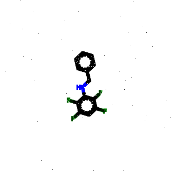 Fc1cc(F)c(F)c(NCc2ccccc2)c1F